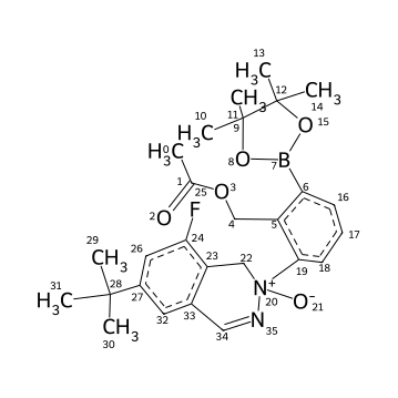 CC(=O)OCc1c(B2OC(C)(C)C(C)(C)O2)cccc1[N+]1([O-])Cc2c(F)cc(C(C)(C)C)cc2C=N1